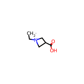 [CH2]CN1CC(C(=O)O)C1